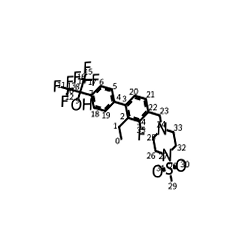 CCc1c(-c2ccc(C(O)(C(F)(F)F)C(F)(F)F)cc2)ccc(CN2CCN(S(C)(=O)=O)CC2)c1F